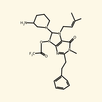 CC(C)=CCN1c2c(nc(CCc3ccccc3)n(C)c2=O)N(OC(=O)C(F)(F)F)C1N1CCCC(N)C1